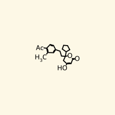 CC(=O)c1ccc(CCC2(C3CCCC3)CC(O)=CC(=O)O2)cc1C